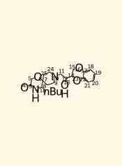 CCCCC1NC(=O)COC12CCN(CC(O)C1COc3ccccc3O1)CC2